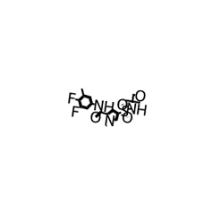 Cc1cc(NC(=O)c2cc(S(=O)(=O)NC3(C)COC3)cn2C)cc(F)c1F